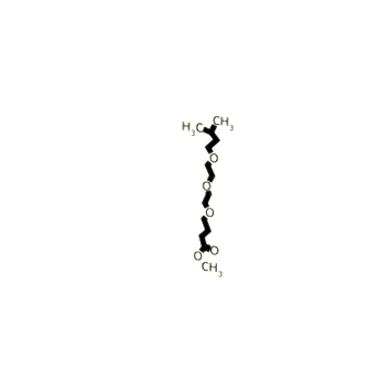 COC(=O)CCCOCCOCCOCCC(C)C